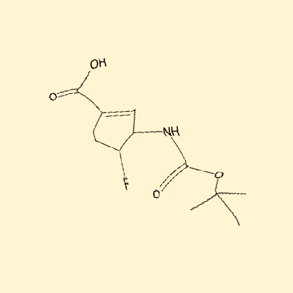 CC(C)(C)OC(=O)NC1C=C(C(=O)O)CC1F